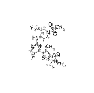 Cc1c(-c2nc(N[C@H]3CCN(S(C)(=O)=O)C[C@@H]3C(F)(F)F)ncc2F)sc2c1C(=O)N(C)C21CC1